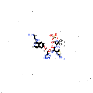 CC1(C)C(NC(=O)/C(=N\O[C@@H](COc2ccc3c(NCCN)nccc3c2)c2nn[nH]n2)c2csc(N)n2)C(=O)N1OS(=O)(=O)O